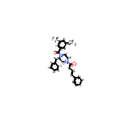 O=C(CC=Cc1ccccc1)N1CCN(C(=O)c2cc(C(F)(F)F)cc(C(F)(F)F)c2)[C@H](Cc2ccccc2)C1